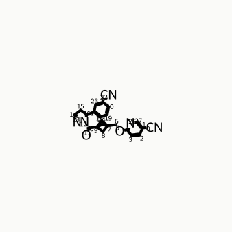 N#Cc1ccc(OCC23CC(C(=O)N4N=CCC4c4cccc(C#N)c4)(C2)C3)nc1